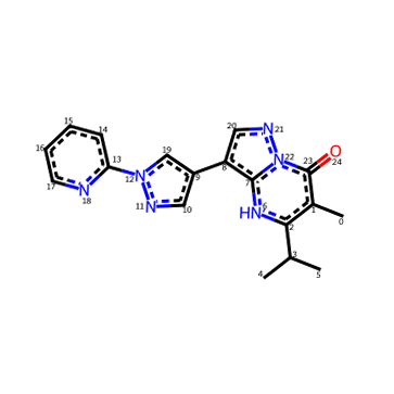 Cc1c(C(C)C)[nH]c2c(-c3cnn(-c4ccccn4)c3)cnn2c1=O